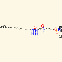 CC(=O)OCCCCCCCCCCCCCCCCNC(=O)NC12CC(C(=O)NCCCCCCOP(OCCC#N)N(C(C)C)C(C)C)(C1)C2